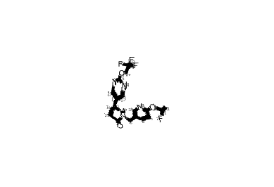 CC(F)Oc1ccc(Cn2nc(-c3cnc(OCC(F)(F)F)nc3)ccc2=O)cn1